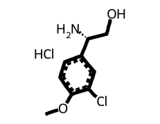 COc1ccc([C@H](N)CO)cc1Cl.Cl